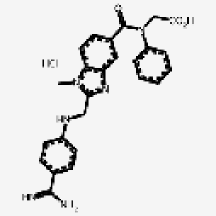 Cl.Cn1c(CNc2ccc(C(=N)N)cc2)nc2cc(C(=O)N(CC(=O)O)c3ccccc3)ccc21